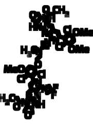 C=CC(=O)N[C@H]1COC[C@H]1Nc1ncc2cc(-c3c(Cl)c(OC)cc(OC)c3Cl)nc(N3CC(N(C)CCOc4cc(OC)c(Cl)c(-c5cc6cnc(N[C@@H]7COC[C@@H]7NC(=O)C=C)nc6c(N6CC(F)(F)C6)n5)c4Cl)C3)c2n1